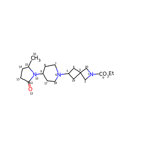 CCOC(=O)N1CC2(CC(N3CCC(N4C(=O)CCC4C)CC3)C2)C1